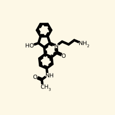 CC(=O)Nc1ccc2c3c(n(CCCN)c(=O)c2c1)-c1ccccc1C3O